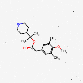 COc1c(C)cc(C[C@@H](O)OC(C)(C)C2CCNCC2)cc1C